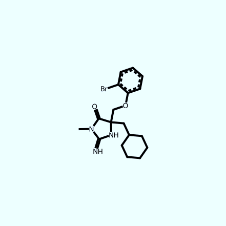 CN1C(=N)NC(COc2ccccc2Br)(CC2CCCCC2)C1=O